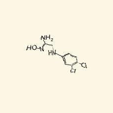 NC(CNc1ccc(Cl)c(Cl)c1)=NO